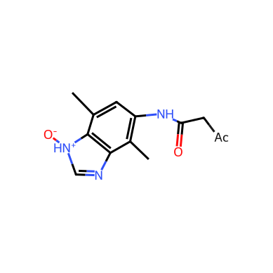 CC(=O)CC(=O)Nc1cc(C)c2c(c1C)N=C[NH+]2[O-]